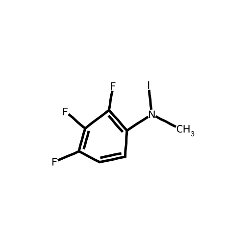 CN(I)c1ccc(F)c(F)c1F